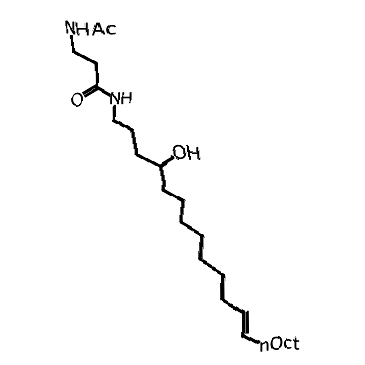 CCCCCCCCC=CCCCCCCCC(O)CCCNC(=O)CCNC(C)=O